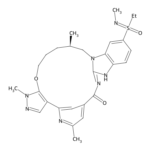 CCS(=O)(=NC)c1ccc2c(c1)N1C[C@H](C)CCCOc3c(cnn3C)-c3cc(cc(C)n3)C(=O)/N=C/1N2